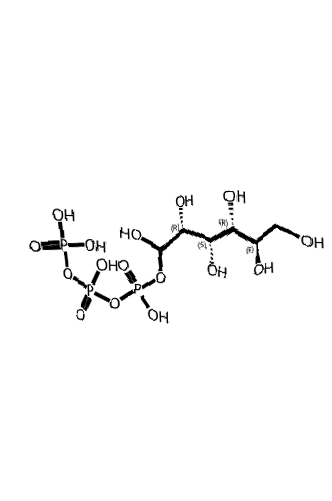 O=P(O)(O)OP(=O)(O)OP(=O)(O)OC(O)[C@H](O)[C@@H](O)[C@H](O)[C@H](O)CO